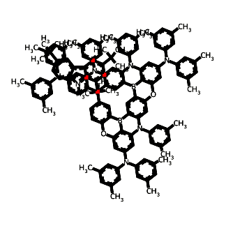 Cc1cc(C)cc(N(c2cc(C)cc(C)c2)c2cc3c4c(c2)N(c2cc(C)cc(C)c2)c2cc5c(cc2B4c2cc(C(C)(C)C)ccc2O3)B2c3cc4c(cc3N(c3cc(C)cc(C)c3)c3cc(N(c6cc(C)cc(C)c6)c6cc(C)cc(C)c6)cc(c32)O5)N(c2cc(C)cc(C)c2)c2cc(N(c3cc(C)cc(C)c3)c3cc(C)cc(C)c3)cc3c2B4c2cc(C(C)(C)C)cc4c5cc(C(C)(C)C)ccc5n-3c24)c1